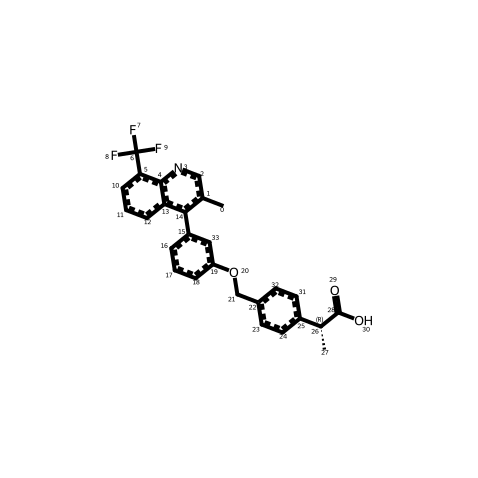 Cc1cnc2c(C(F)(F)F)cccc2c1-c1cccc(OCc2ccc([C@@H](C)C(=O)O)cc2)c1